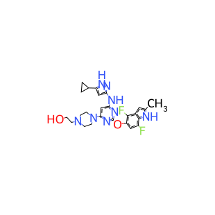 Cc1cc2c(F)c(Oc3nc(Nc4cc(C5CC5)[nH]n4)cc(N4CCN(CCO)CC4)n3)cc(F)c2[nH]1